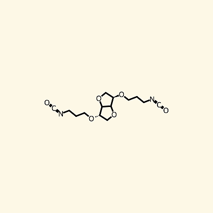 O=C=NCCCO[C@H]1COC2C1OC[C@H]2OCCCN=C=O